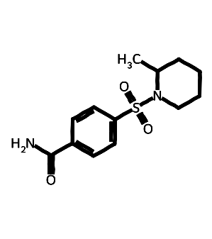 CC1CCCCN1S(=O)(=O)c1ccc(C(N)=O)cc1